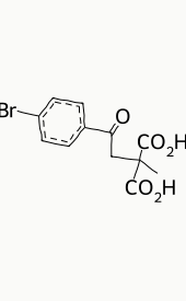 CC(CC(=O)c1ccc(Br)cc1)(C(=O)O)C(=O)O